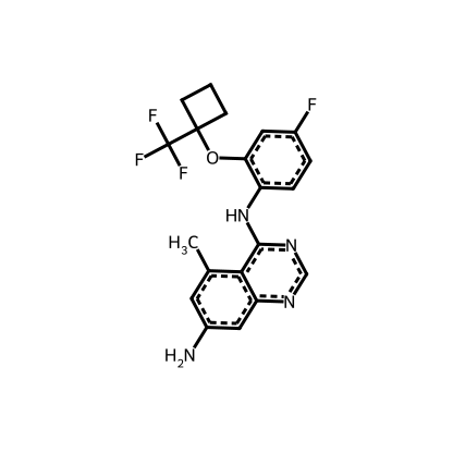 Cc1cc(N)cc2ncnc(Nc3ccc(F)cc3OC3(C(F)(F)F)CCC3)c12